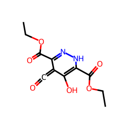 CCOC(=O)C1=NNC(C(=O)OCC)=C(O)C1=C=O